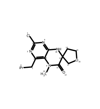 CC(C)Cc1nc(Cl)nc2c1N(C)C(=O)C1(CCOC1)N2